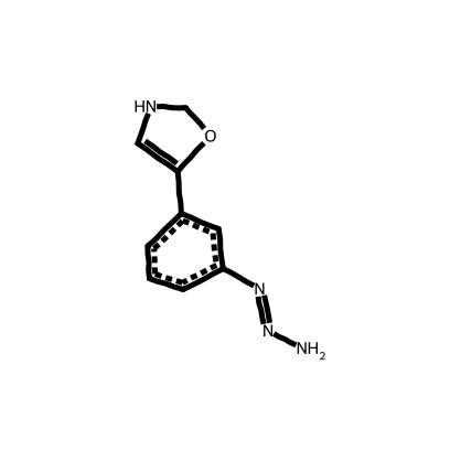 NN=Nc1cccc(C2=CNCO2)c1